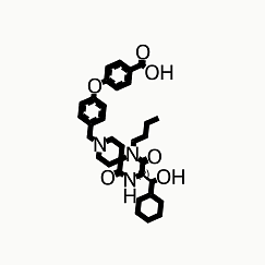 CCCCN1C(=O)[C@@H](C(O)C2CCCCC2)NC(=O)C12CCN(Cc1ccc(Oc3ccc(C(=O)O)cc3)cc1)CC2